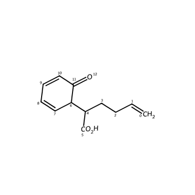 C=CCCC(C(=O)O)C1C=CC=CC1=O